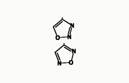 [c]1cnon1.[c]1conn1